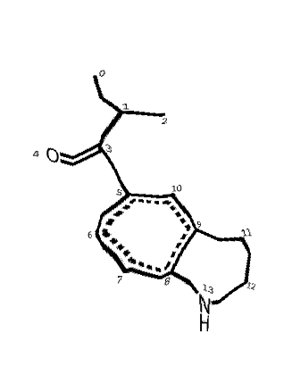 CC(C)C(=O)c1ccc2c(c1)CCN2